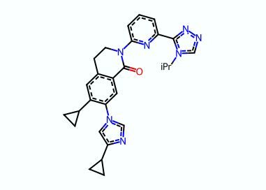 CC(C)n1cnnc1-c1cccc(N2CCc3cc(C4CC4)c(-n4cnc(C5CC5)c4)cc3C2=O)n1